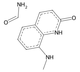 CNc1cccc2ccc(=O)[nH]c12.NC=O